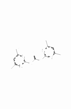 Cc1cc(C)nc(SC(=S)Sc2nc(C)cc(C)n2)n1